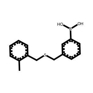 Cc1ccccc1CSCc1cccc(B(O)O)c1